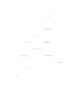 CCOC(=O)C1=C(C)N(c2cccc(C(F)(F)F)c2)C(=O)N(CC(=O)OC(C)(C)C)[C@@H]1c1ccc(N)cc1